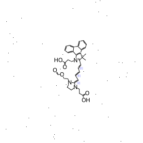 CC1(C)C(/C=C/C=C/C=C2\N(CCOC=O)CCN2CCC(=O)O)=[N+](CCC(=O)O)c2c1c1ccccc1c1ccccc21